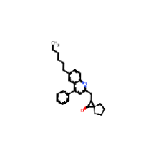 CCCCCCc1ccc2nc(CC3C(=O)C34CCCC4)cc(-c3ccccc3)c2c1